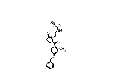 Cc1cc(OCc2ccccc2)ccc1C(=O)C1CCC(=O)N1CCNC(=O)OC(C)(C)C